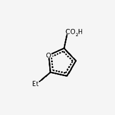 [CH2]Cc1ccc(C(=O)O)o1